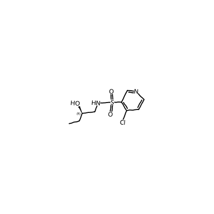 CC[C@@H](O)CNS(=O)(=O)c1cnccc1Cl